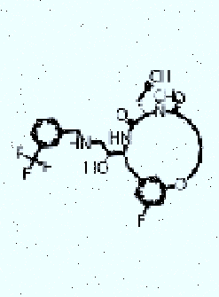 C#CC[C@H]1C(=O)N[C@H]([C@H](O)CNCc2cccc(C(F)(F)F)c2)Cc2cc(F)cc(c2)OCCCCCC(=O)N1C